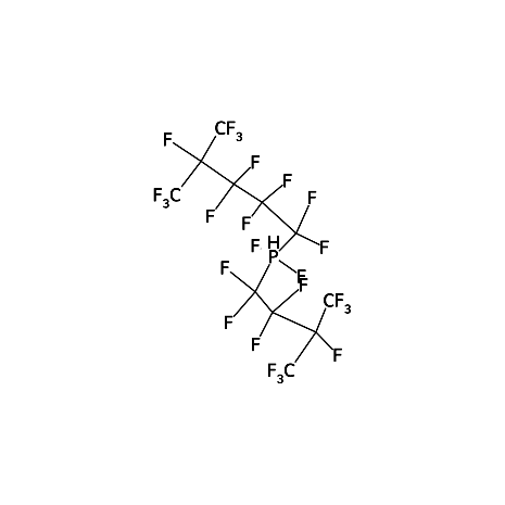 FC(F)(F)C(F)(C(F)(F)F)C(F)(F)C(F)(F)C(F)(F)[PH](F)(F)C(F)(F)C(F)(F)C(F)(C(F)(F)F)C(F)(F)F